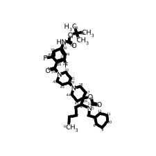 CCCCC1N(CC2CCCCC2)C(=O)OC12CCN(C1CCN(C(=O)c3c(F)cc(NC(=O)OC(C)(C)C)cc3F)CC1)CC2